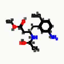 COc1ccc(N)cc1C[C@@H](CC(=O)OC(C)(C)C)NB(C)O